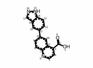 O=C(O)c1ccnc2ccc(-c3ccc4[nH]ncc4c3)cc12